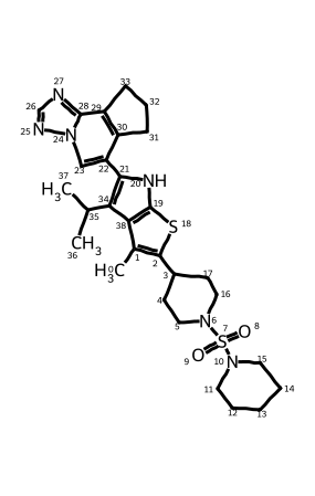 Cc1c(C2CCN(S(=O)(=O)N3CCCCC3)CC2)sc2[nH]c(-c3cn4ncnc4c4c3CCC4)c(C(C)C)c12